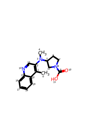 Cc1c(N(C)C2CCN(C(=O)O)C2)cnc2ccccc12